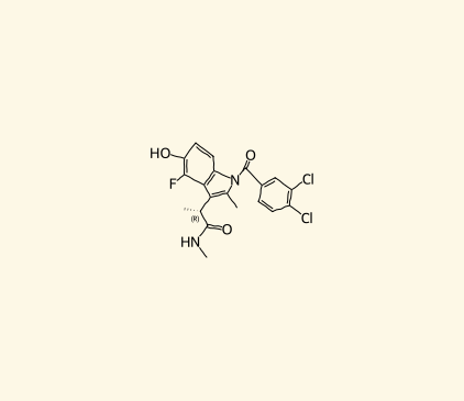 CNC(=O)[C@H](C)c1c(C)n(C(=O)c2ccc(Cl)c(Cl)c2)c2ccc(O)c(F)c12